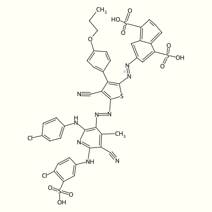 CCCOc1ccc(-c2c(/N=N/c3cc(S(=O)(=O)O)c4cccc(S(=O)(=O)O)c4c3)sc(N=Nc3c(Nc4ccc(Cl)cc4)nc(Nc4ccc(Cl)c(S(=O)(=O)O)c4)c(C#N)c3C)c2C#N)cc1